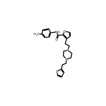 Cc1ccc(NC(=O)c2occc2CCN2CCN(CCc3cccs3)CC2)cc1